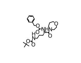 CC(C)(C)OC(=O)NCCC[C@@H](NC(=O)OCc1ccccc1)C(=O)N1CCCOCC1